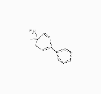 CC1(N)C=CC(c2ccccc2)=CC1